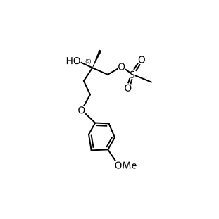 COc1ccc(OCC[C@](C)(O)COS(C)(=O)=O)cc1